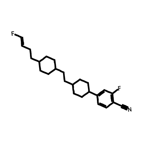 N#Cc1ccc(C2CCC(CCC3CCC(CCC=CF)CC3)CC2)cc1F